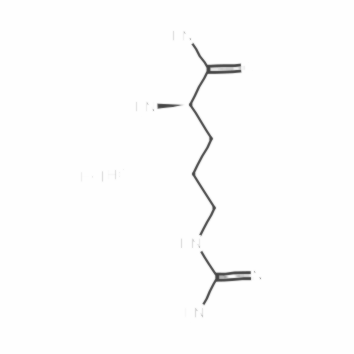 Cl.Cl.N=C(N)NCCC[C@@H](N)C(N)=O